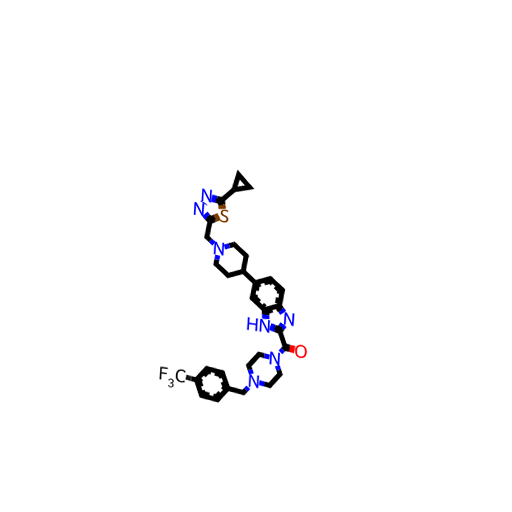 O=C(c1nc2ccc(C3CCN(Cc4nnc(C5CC5)s4)CC3)cc2[nH]1)N1CCN(Cc2ccc(C(F)(F)F)cc2)CC1